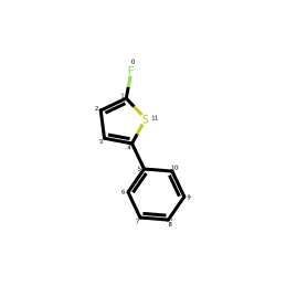 Fc1ccc(-c2cc[c]cc2)s1